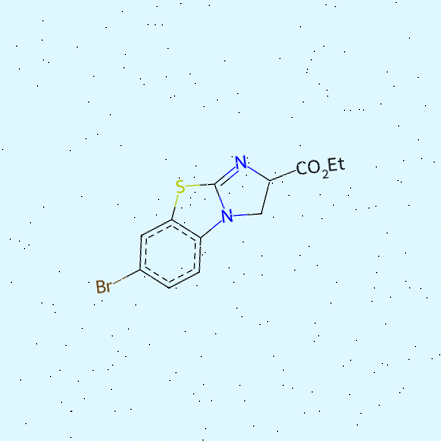 CCOC(=O)C1CN2C(=N1)Sc1cc(Br)ccc12